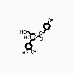 COc1ccc(COC(=O)N(CCc2ccc(OC)c(OC)c2)CC(O)CO)cc1